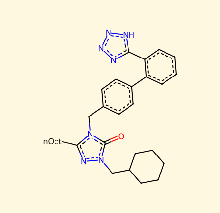 CCCCCCCCc1nn(CC2CCCCC2)c(=O)n1Cc1ccc(-c2ccccc2-c2nnn[nH]2)cc1